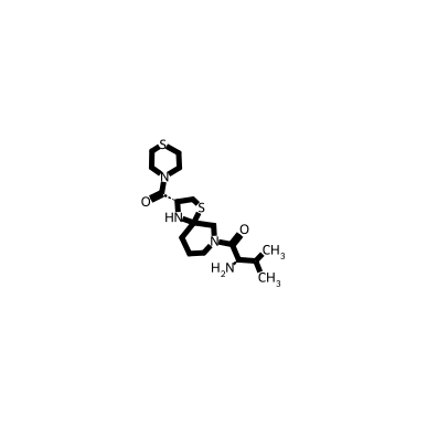 CC(C)[C@H](N)C(=O)N1CCCC2(C1)N[C@H](C(=O)N1CCSCC1)CS2